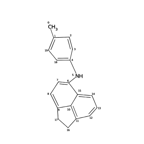 Cc1ccc(Nc2ccc3c4c(cccc24)CC3)cc1